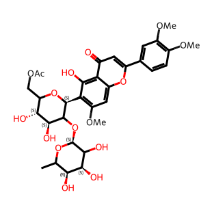 COc1ccc(-c2cc(=O)c3c(O)c([C@@H]4OC(COC(C)=O)[C@@H](O)[C@H](O)C4O[C@@H]4OC(C)[C@H](O)[C@H](O)C4O)c(OC)cc3o2)cc1OC